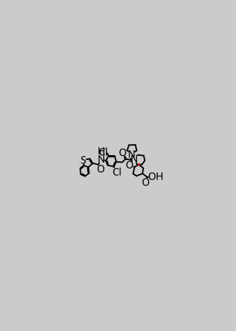 O=C(Nc1cc(Cl)c(CC(=O)C(OC2CCC(C(=O)O)CC2)(N2CCCCC2)N2CCCC2)cc1Cl)c1csc2ccccc12